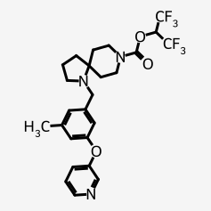 Cc1cc(CN2CCCC23CCN(C(=O)OC(C(F)(F)F)C(F)(F)F)CC3)cc(Oc2cccnc2)c1